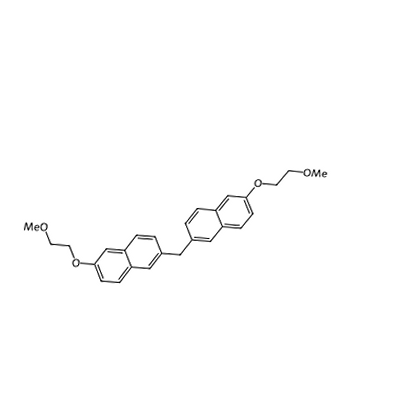 COCCOc1ccc2cc(Cc3ccc4cc(OCCOC)ccc4c3)ccc2c1